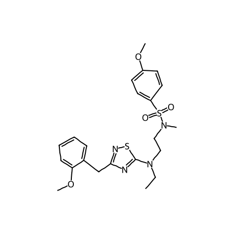 CCN(CCN(C)S(=O)(=O)c1ccc(OC)cc1)c1nc(Cc2ccccc2OC)ns1